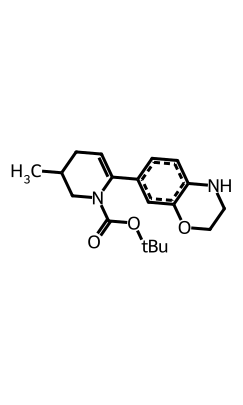 CC1CC=C(c2ccc3c(c2)OCCN3)N(C(=O)OC(C)(C)C)C1